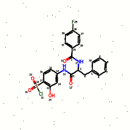 O=C(NC(Cc1ccccc1)C(=O)Nc1ccc(S(=O)(=O)Cl)c(O)c1)c1ccc(F)cc1